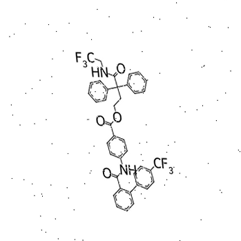 O=C(OCCC(C(=O)NCC(F)(F)F)(c1ccccc1)c1ccccc1)c1ccc(NC(=O)c2ccccc2-c2ccc(C(F)(F)F)cc2)cc1